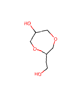 OCC1COCC(O)CO1